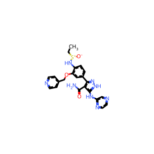 CC[S+]([O-])Nc1ccc(-c2n[nH]c(Nc3cnccn3)c2C(N)=O)cc1OCc1ccncc1